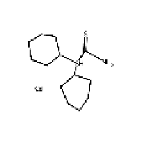 NC(=S)[SH](C1CCCCC1)C1CCCCC1.[Cd]